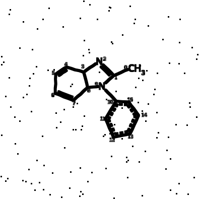 CC1=NC2C=CC=CC2N1c1ccccc1